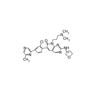 Cc1cncc(-c2ccc(-c3cc4cnc(N[C@H]5CCOC5)nc4n(CCCN(C)C)c3=O)c(Cl)c2)n1